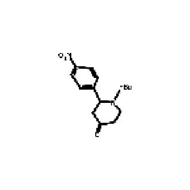 CCCCN1CCC(=O)CC1c1ccc([N+](=O)[O-])cc1